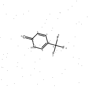 O=C1[C]=CC(C(F)(F)F)=C[N]1